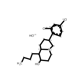 CCCCC1C(O)CCN2CC(c3ccc(Cl)cc3Cl)CCC12.Cl